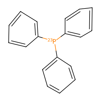 c1ccc([23P](c2ccccc2)c2ccccc2)cc1